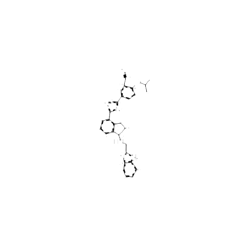 CC(C)Oc1ccc(-c2nc(-c3cccc4c3CCC4NCc3nc4ccccc4[nH]3)no2)cc1C#N